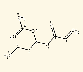 C=CC(=O)OC(CCC)OC(C)=O